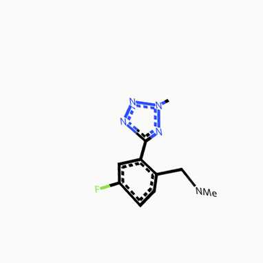 CNCc1ccc(F)cc1-c1nnn(C)n1